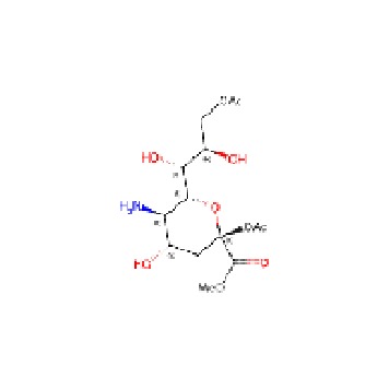 COC(=O)[C@]1(OC(C)=O)C[C@H](O)[C@@H](N)[C@H]([C@H](O)[C@H](O)COC(C)=O)O1